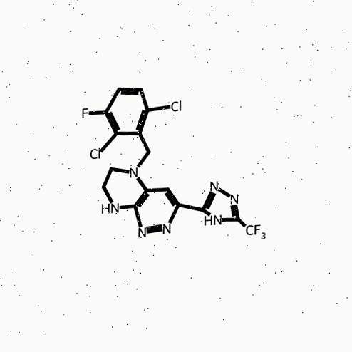 Fc1ccc(Cl)c(CN2CCNc3nnc(-c4nnc(C(F)(F)F)[nH]4)cc32)c1Cl